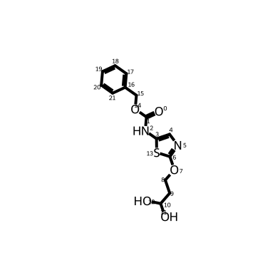 O=C(Nc1cnc(OCCC(O)O)s1)OCc1ccccc1